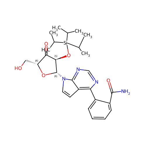 CC(C)[Si](O[C@@H]1C(=O)[C@@H](CO)O[C@H]1n1ccc2c(-c3ccccc3C(N)=O)ncnc21)(C(C)C)C(C)C